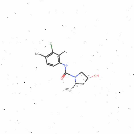 Cc1c(NC(=O)N2C[C@H](O)C[C@H]2C(=O)O)ccc(C#N)c1Cl